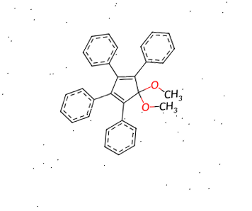 COC1(OC)C(c2ccccc2)=C(c2ccccc2)C(c2ccccc2)=C1c1ccccc1